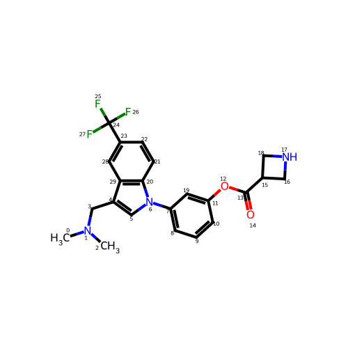 CN(C)Cc1cn(-c2cccc(OC(=O)C3CNC3)c2)c2ccc(C(F)(F)F)cc12